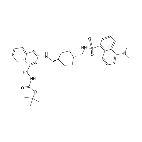 CN(C)c1cccc2c(S(=O)(=O)NC[C@H]3CC[C@H](CNc4nc(NNC(=O)OC(C)(C)C)c5ccccc5n4)CC3)cccc12